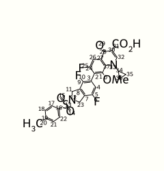 COc1c(-c2cc(F)c3c(c2F)CN(S(=O)(=O)c2ccc(C)cc2)C3)c(F)cc2c(=O)c(C(=O)O)cn(C3CC3)c12